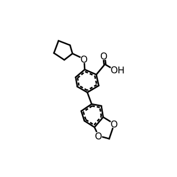 O=C(O)c1cc(-c2ccc3c(c2)OCO3)ccc1OC1CCCC1